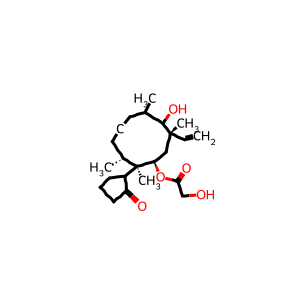 C=C[C@]1(C)C[C@@H](OC(=O)CO)[C@@](C)(C2CCCC2=O)[C@H](C)CCCC(C)C1O